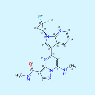 CNC(=O)c1cnn2c(NC)cc(-c3cn([C@H]4CC4(F)F)c4ncccc34)nc12